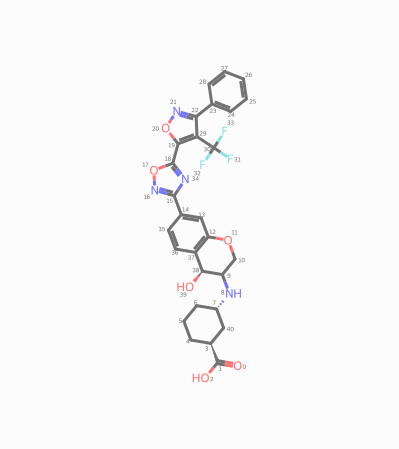 O=C(O)[C@H]1CCC[C@H](NC2COc3cc(-c4noc(-c5onc(-c6ccccc6)c5C(F)(F)F)n4)ccc3[C@@H]2O)C1